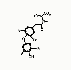 Cc1cc(Oc2c(Br)cc(CC(=O)N(C)[C@H](C(=O)O)C(C)C)cc2Br)cc(C(C)C)c1O